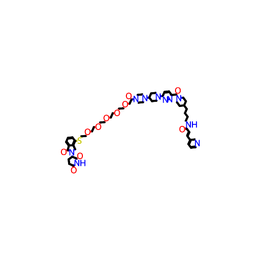 O=C(/C=C/c1cccnc1)NCCCCC1CCN(C(=O)c2ccc(N3CCC(N4CCN(C(=O)COCCOCCOCCOCCOCCSc5cccc6c5CN(C5CCC(=O)NC5=O)C6=O)CC4)CC3)nn2)CC1